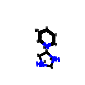 C1CNCN1.c1ccncc1